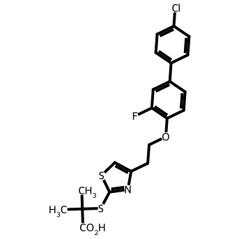 CC(C)(Sc1nc(CCOc2ccc(-c3ccc(Cl)cc3)cc2F)cs1)C(=O)O